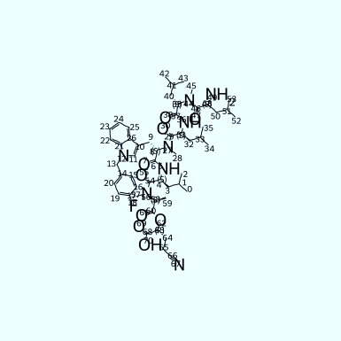 CC(C)C[C@H](NC(=O)[C@H](Cc1cn(Cc2ccc(F)cc2)c2ccccc12)N(C)C(=O)[C@H](CC(C)C)NC(=O)[C@H](CC(C)C)N(C)C(=O)[C@@H](N)CC(C)C)C(=O)N(C)[C@@H](C)C(=O)O[C@H](CCC#N)C(=O)O